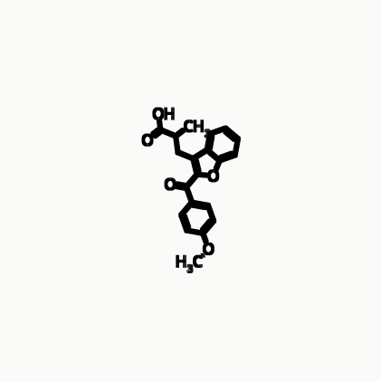 COc1ccc(C(=O)c2oc3ccccc3c2CC(C)C(=O)O)cc1